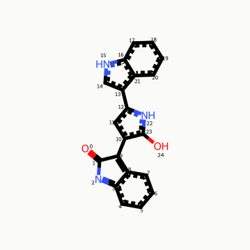 O=C1N=c2ccccc2=C1c1cc(-c2c[nH]c3ccccc23)[nH]c1O